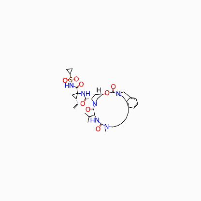 C=C[C@@H]1C[C@]1(NC(=O)[C@@H]1C[C@@H]2CN1C(=O)[C@H](C(C)C)NC(=O)N(C)CCCCCc1cccc3c1CN(C3)C(=O)O2)C(=O)NS(=O)(=O)C1CC1